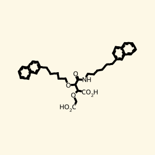 O=C(O)COC(C(=O)O)C(OCCCCCc1ccc2ccccc2c1)C(=O)NCCCCCCc1ccc2ccccc2c1